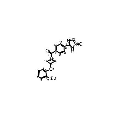 CC(C)(C)c1ccccc1OC1CN(C(=O)c2ccc(C3=NOS(=O)N3)cc2)C1